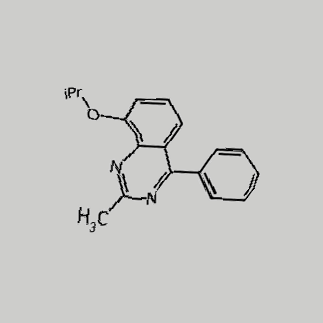 Cc1nc(-c2ccccc2)c2cccc(OC(C)C)c2n1